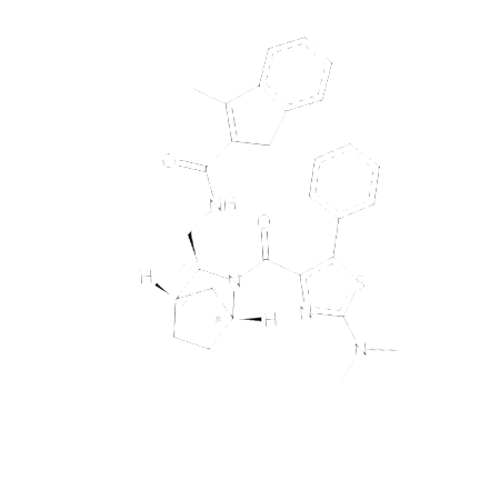 CC1=C(C(=O)NC[C@@H]2[C@H]3CC[C@H](C3)N2C(=O)c2nc(N(C)C)sc2-c2ccccc2)Cc2ccccc21